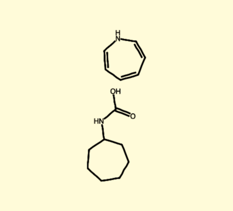 C1=CC=CNC=C1.O=C(O)NC1CCCCCC1